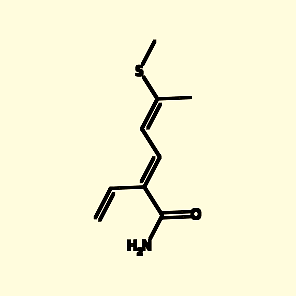 C=C/C(=C\C=C(/C)SC)C(N)=O